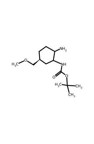 COC[C@H]1CCC(N)C(NC(=O)OC(C)(C)C)C1